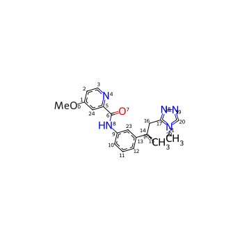 COc1ccnc(C(=O)Nc2cccc([C@H](C)Cc3nncn3C)c2)c1